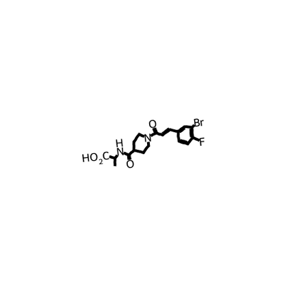 CC(NC(=O)C1CCN(C(=O)C=Cc2ccc(F)c(Br)c2)CC1)C(=O)O